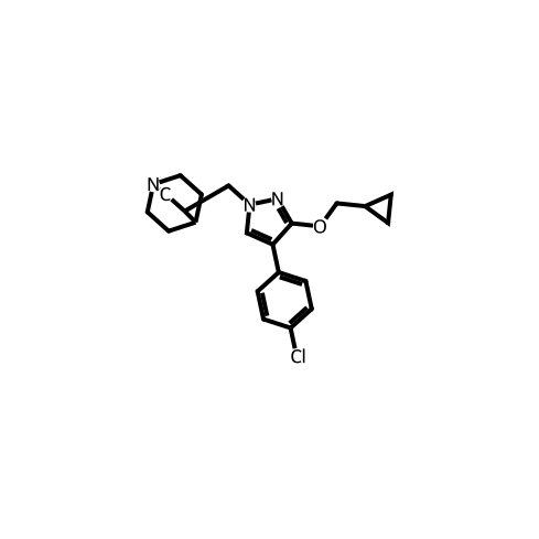 Clc1ccc(-c2cn(CC3CN4CCC3CC4)nc2OCC2CC2)cc1